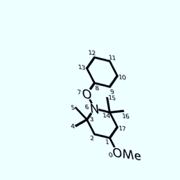 COC1CC(C)(C)N(OC2CCCCC2)C(C)(C)C1